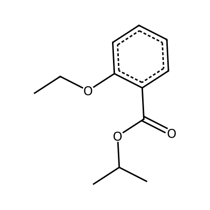 CCOc1ccccc1C(=O)OC(C)C